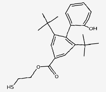 CC(C)(C)c1cc(C(=O)OCCS)cc(C(C)(C)C)c1-c1ccccc1O